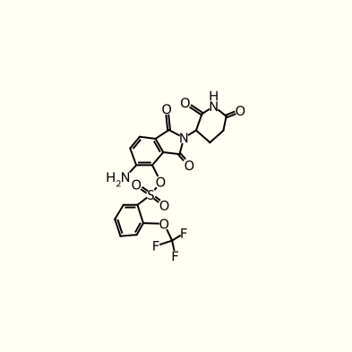 Nc1ccc2c(c1OS(=O)(=O)c1ccccc1OC(F)(F)F)C(=O)N(C1CCC(=O)NC1=O)C2=O